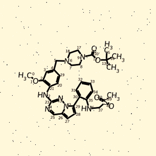 COc1cc(CN2CCN(C(=O)OC(C)(C)C)CC2)ccc1Nc1ncc2ccc(-c3ccccc3NCS(C)(=O)=O)n2n1